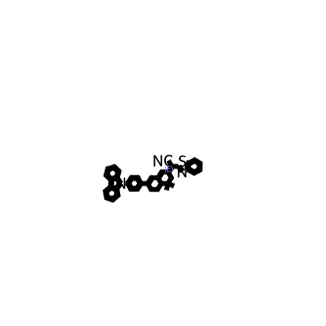 CC1(C)C/C(=C(/C#N)c2nc3ccccc3s2)C=C2C=C(c3ccc(-n4c5ccccc5c5ccccc54)cc3)CCC21